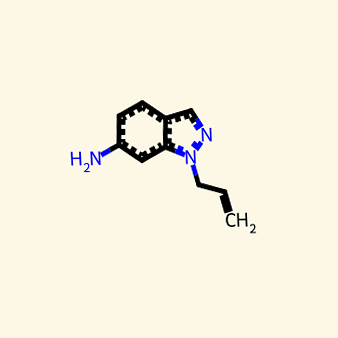 C=CCn1ncc2ccc(N)cc21